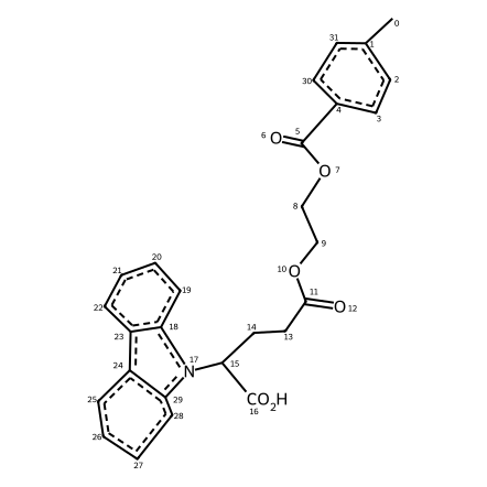 Cc1ccc(C(=O)OCCOC(=O)CCC(C(=O)O)n2c3ccccc3c3ccccc32)cc1